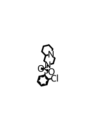 O=S(=O)(c1ccccc1Cl)N1CCN2CCCCC2C1